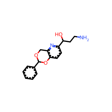 NCCC(O)c1ccc2c(n1)COC(c1ccccc1)O2